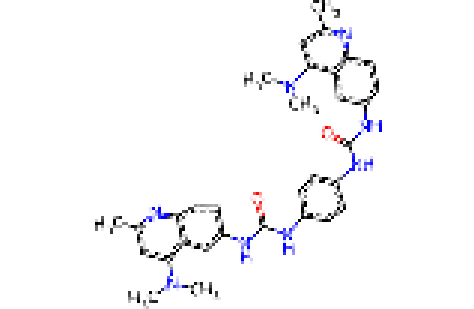 Cc1cc(N(C)C)c2cc(NC(=O)Nc3ccc(NC(=O)Nc4ccc5nc(C)cc(N(C)C)c5c4)cc3)ccc2n1